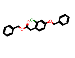 O=C(Cc1ccc(OCc2ccccc2)cc1Cl)OCc1ccccc1